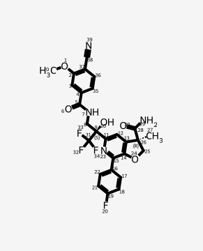 COc1cc(C(=O)NC[C@](O)(c2cc3c(c(-c4ccc(F)cc4)n2)OC[C@]3(C)C(N)=O)C(F)(F)F)ccc1C#N